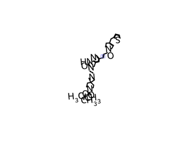 CC(C)(C)OC(=O)N1CCC2(CC1)CN(CCN1Cc3cc(/C=C/C(=O)N4CC=C(Cc5cccs5)CC4)cnc3NC1=O)C2